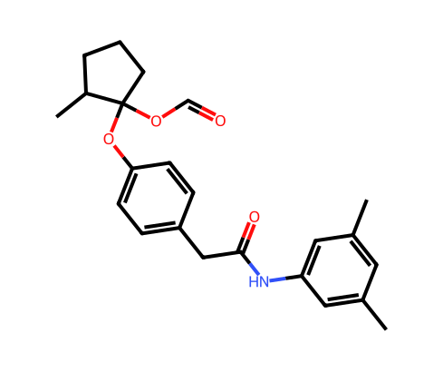 Cc1cc(C)cc(NC(=O)Cc2ccc(OC3(OC=O)CCCC3C)cc2)c1